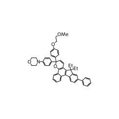 CCC1(CC)c2cc(-c3ccccc3)ccc2-c2c1c1c(c3ccccc23)OC(c2ccc(OCCOC)cc2)(c2ccc(N3CCOCC3)cc2)C=C1